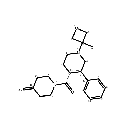 CC1(N2CC[C@@H](C(=O)N3CCC(=O)CC3)[C@H](c3ccccc3)C2)COC1